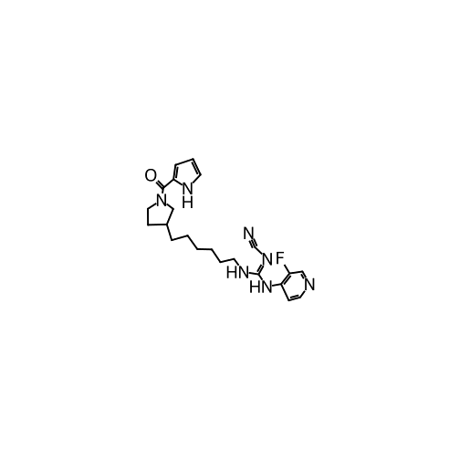 N#CN=C(NCCCCCCC1CCN(C(=O)c2ccc[nH]2)C1)Nc1ccncc1F